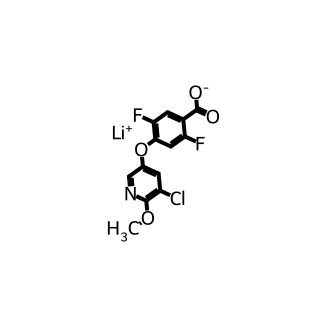 COc1ncc(Oc2cc(F)c(C(=O)[O-])cc2F)cc1Cl.[Li+]